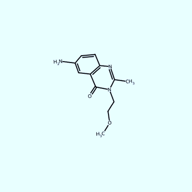 COCCn1c(C)nc2ccc(N)cc2c1=O